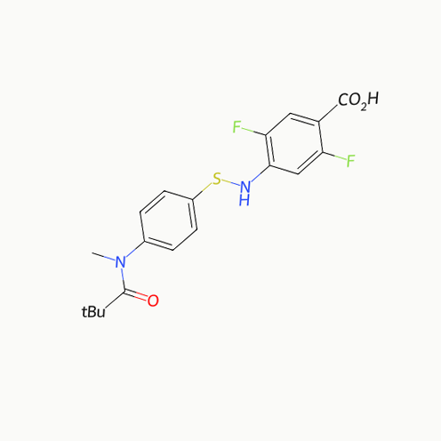 CN(C(=O)C(C)(C)C)c1ccc(SNc2cc(F)c(C(=O)O)cc2F)cc1